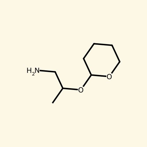 CC(CN)OC1CCCCO1